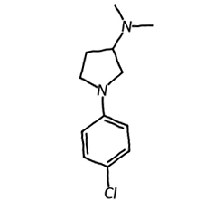 CN(C)C1CCN(c2ccc(Cl)cc2)C1